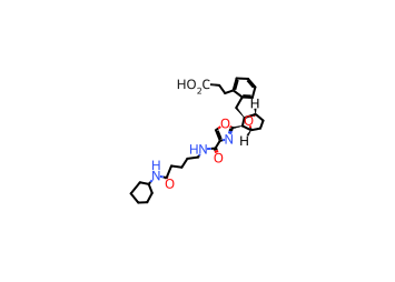 O=C(O)CCc1ccccc1C[C@@H]1[C@H](c2nc(C(=O)NCCCCC(=O)NC3CCCCC3)co2)[C@H]2CC[C@@H]1O2